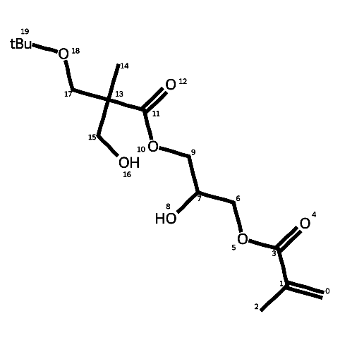 C=C(C)C(=O)OCC(O)COC(=O)C(C)(CO)COC(C)(C)C